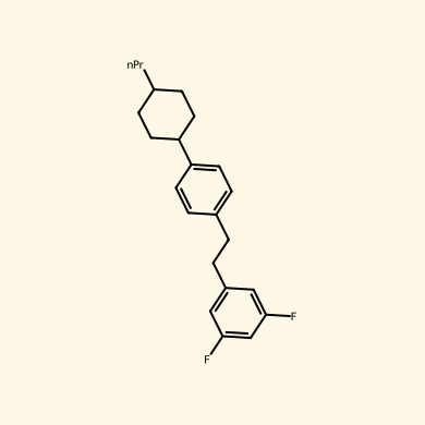 CCCC1CCC(c2ccc(CCc3cc(F)cc(F)c3)cc2)CC1